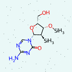 Nc1ncn([C@@H]2O[C@H](CO)[C@H](O[SiH3])[C@H]2[SiH3])c(=O)n1